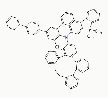 Cc1cc(-c2ccc(-c3ccccc3)cc2)cc(-c2ccccc2)c1N(c1ccc2c(c1)-c1ccccc1CCc1ccccc1-c1ccccc1-2)c1ccc2c(c1)C(C)(C)c1ccccc1-2